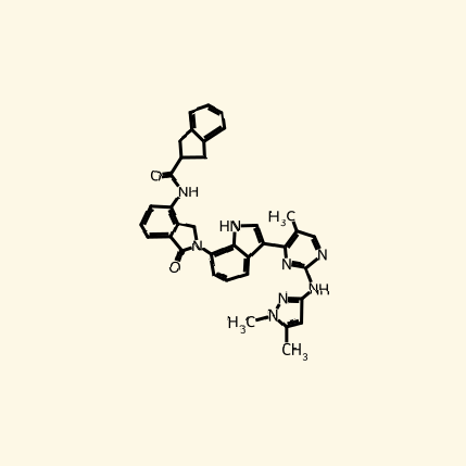 Cc1cnc(Nc2cc(C)n(C)n2)nc1-c1c[nH]c2c(N3Cc4c(NC(=O)C5Cc6ccccc6C5)cccc4C3=O)cccc12